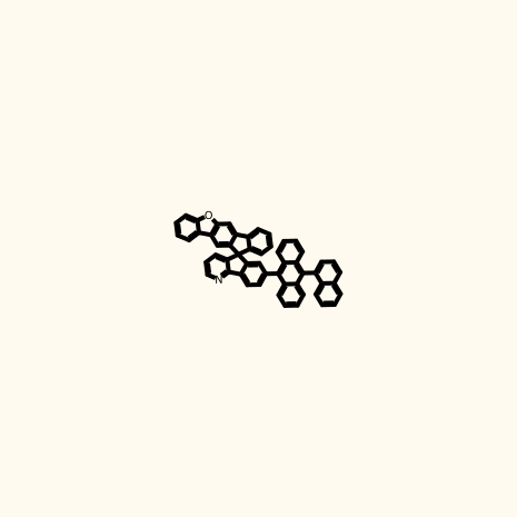 c1ccc2c(c1)-c1cc3oc4ccccc4c3cc1C21c2cc(-c3c4ccccc4c(-c4cccc5ccccc45)c4ccccc34)ccc2-c2ncccc21